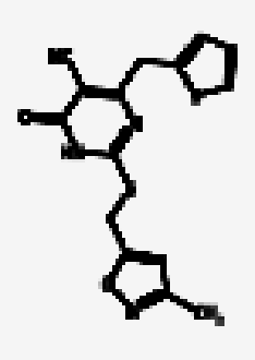 Cc1cc(CSc2nc(Cc3cccs3)c(C#N)c(=O)[nH]2)on1